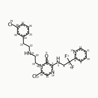 O=c1c(NCC(F)(F)c2ccccn2)ncc(Cl)n1CCNCCc1cccc(Cl)c1